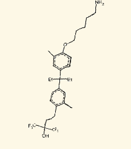 CCC(CC)(c1ccc(CCC(O)(C(F)(F)F)C(F)(F)F)c(C)c1)c1ccc(OCCCCCN)c(C)c1